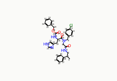 CC(CNC(=O)CN(Cc1ccc(Cl)cc1)C(=O)C(Cc1c[nH]cn1)NC(=O)OCc1ccccc1)c1ccccc1